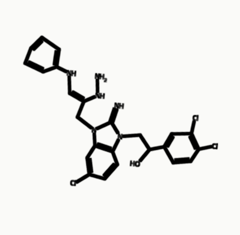 N=c1n(C/C(=C/Nc2ccccc2)NN)c2cc(Cl)ccc2n1CC(O)c1ccc(Cl)c(Cl)c1